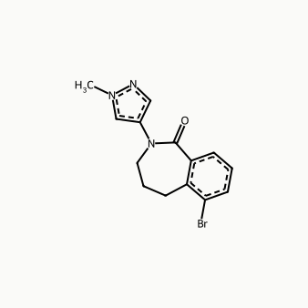 Cn1cc(N2CCCc3c(Br)cccc3C2=O)cn1